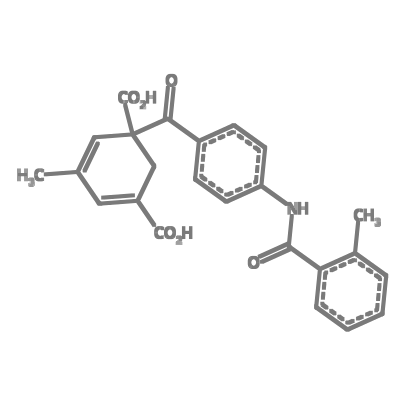 CC1=CC(C(=O)O)(C(=O)c2ccc(NC(=O)c3ccccc3C)cc2)CC(C(=O)O)=C1